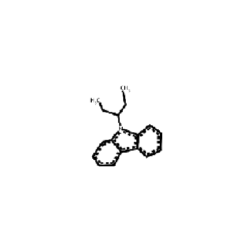 CCC(CC)n1c2ccccc2c2ccccc21